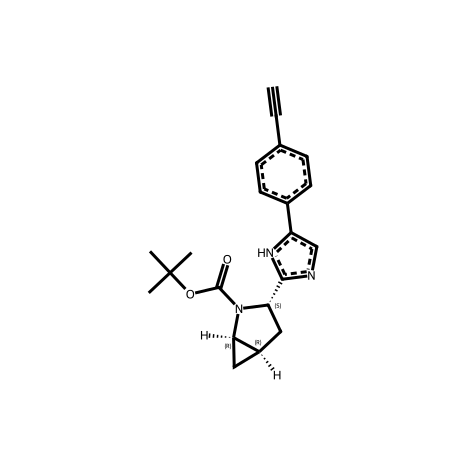 C#Cc1ccc(-c2cnc([C@@H]3C[C@H]4C[C@H]4N3C(=O)OC(C)(C)C)[nH]2)cc1